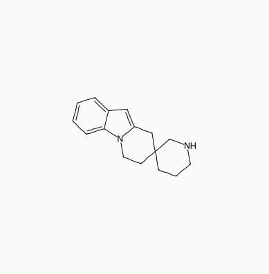 c1ccc2c(c1)cc1n2CCC2(CCCNC2)C1